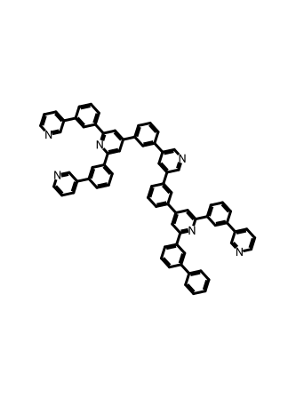 c1ccc(-c2cccc(-c3cc(-c4cccc(-c5cncc(-c6cccc(-c7cc(-c8cccc(-c9cccnc9)c8)nc(-c8cccc(-c9cccnc9)c8)c7)c6)c5)c4)cc(-c4cccc(-c5cccnc5)c4)n3)c2)cc1